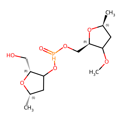 COC1C[C@H](C)O[C@@H]1CO[PH](=O)OC1C[C@H](C)O[C@@H]1CO